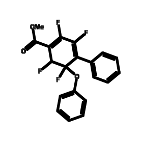 COC(=O)C1=C(F)C(F)=C(c2ccccc2)C(F)(Oc2ccccc2)C1F